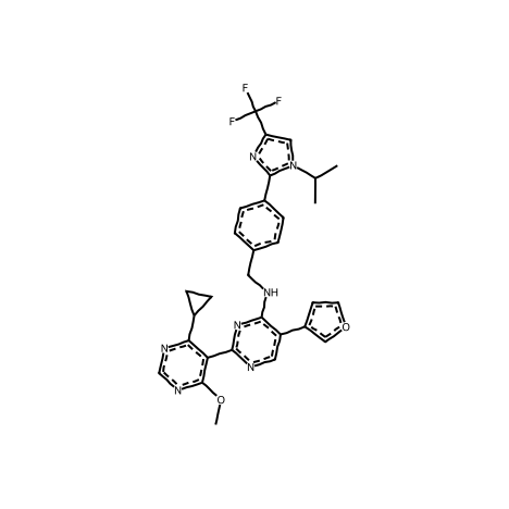 COc1ncnc(C2CC2)c1-c1ncc(-c2ccoc2)c(NCc2ccc(-c3nc(C(F)(F)F)cn3C(C)C)cc2)n1